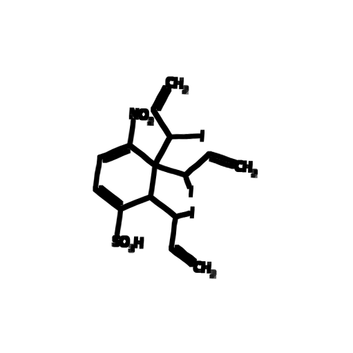 C=CC(I)C1C(S(=O)(=O)O)=CC=C([N+](=O)[O-])C1(C(I)C=C)C(I)C=C